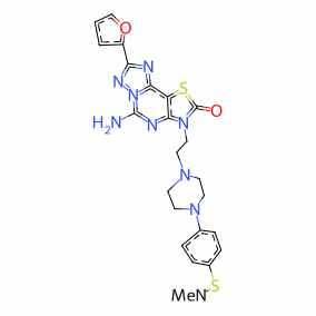 CNSc1ccc(N2CCN(CCn3c(=O)sc4c3nc(N)n3nc(-c5ccco5)nc43)CC2)cc1